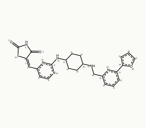 O=C1NC(=O)/C(=C\c2ccnc(NC3CCC(NCc4cccc(-c5ccco5)n4)CC3)n2)S1